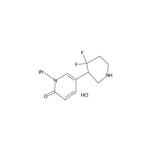 CC(C)n1cc(C2CNCCC2(F)F)ccc1=O.Cl